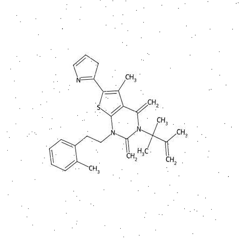 C=C1c2c(sc(C3=NC=CC3)c2C)N(CCc2ccccc2C)C(=C)N1C(C)(C)C(=C)C